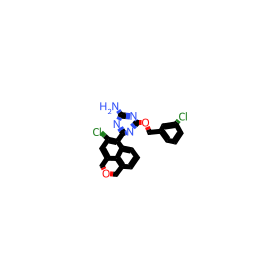 Nc1nc(OCc2cccc(Cl)c2)nc(-c2c(Cl)cc3c4c(cccc24)COC3)n1